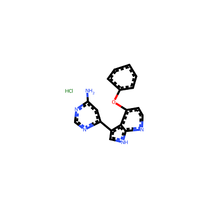 Cl.Nc1cc(-c2c[nH]c3nccc(Oc4ccccc4)c23)ncn1